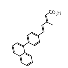 CC(/C=C/c1ccc(-c2cccc3ccccc23)cc1)=C\C(=O)O